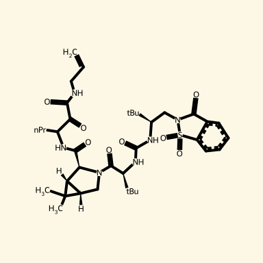 C=CCNC(=O)C(=O)C(CCC)NC(=O)[C@@H]1[C@@H]2[C@H](CN1C(=O)[C@@H](NC(=O)N[C@H](CN1C(=O)c3ccccc3S1(=O)=O)C(C)(C)C)C(C)(C)C)C2(C)C